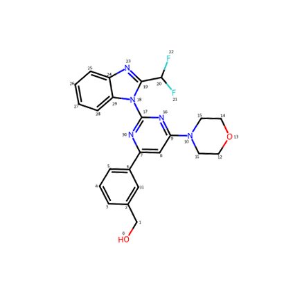 OCc1cccc(-c2cc(N3CCOCC3)nc(-n3c(C(F)F)nc4ccccc43)n2)c1